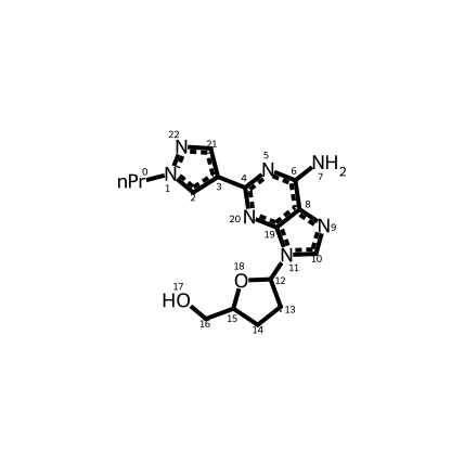 CCCn1cc(-c2nc(N)c3ncn(C4[CH]CC(CO)O4)c3n2)cn1